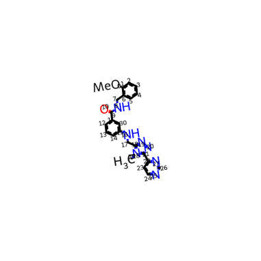 COc1ccccc1CNC(=O)c1cccc(NCc2nnc(-c3ccncn3)n2C)c1